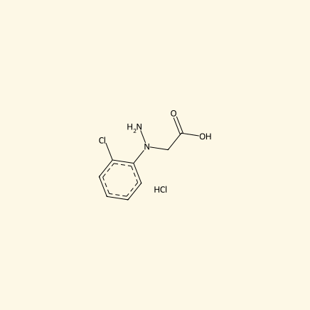 Cl.NN(CC(=O)O)c1ccccc1Cl